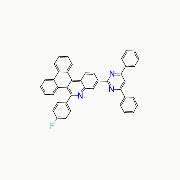 Fc1ccc(-c2nc3cc(-c4nc(-c5ccccc5)cc(-c5ccccc5)n4)ccc3c3c4ccccc4c4ccccc4c23)cc1